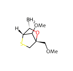 B[C@@H]1O[C@]2(COC)CS[C@H]1C2OC